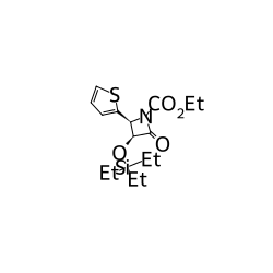 CCOC(=O)N1C(=O)[C@@H](O[Si](CC)(CC)CC)[C@H]1c1cccs1